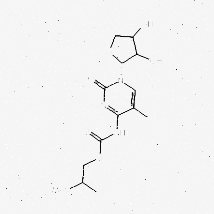 CSC(C)COC(=O)Nc1nc(=O)n([C@@H]2O[C@H](C)C(O)C2O)cc1I